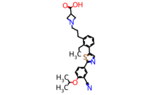 CCc1c(CCCN2CC(C(=O)O)C2)cccc1-c1cnc(-c2ccc(OC(C)C)c(C#N)c2)s1